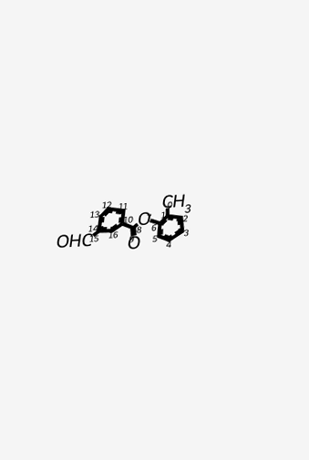 Cc1ccccc1OC(=O)c1cccc(C=O)c1